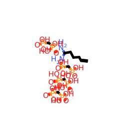 C=CCCCC(N)N.O=P(O)(O)CP(=O)(O)O.O=P(O)(O)CP(=O)(O)O.O=P(O)(O)CP(=O)(O)O.O=P(O)(O)CP(=O)(O)O